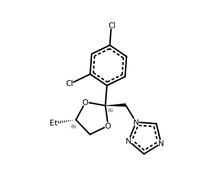 CC[C@H]1CO[C@@](Cn2cncn2)(c2ccc(Cl)cc2Cl)O1